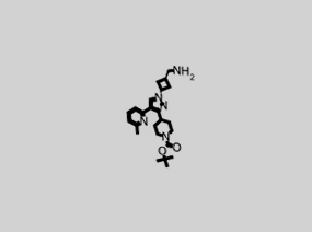 Cc1cccc(-c2cn([C@H]3C[C@H](CN)C3)nc2C2CCN(C(=O)OC(C)(C)C)CC2)n1